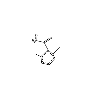 Cc1cccc(C)c1C(=O)[PH2]=O